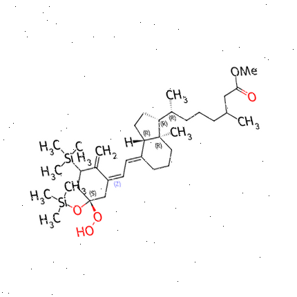 C=C1/C(=C\C=C2CCC[C@]3(C)[C@@H]([C@H](C)CCCC(C)CC(=O)OC)CC[C@@H]23)C[C@](OO)(O[Si](C)(C)C)CC1[Si](C)(C)C